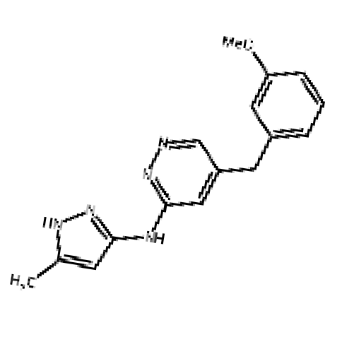 COc1cccc(Cc2cnnc(Nc3cc(C)[nH]n3)c2)c1